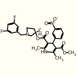 COC(=O)C1=C(C)NC(C)=C(C(=O)O[C@@]2(C)CCN(Cc3cc(F)cc(F)c3)C2)C1c1cccc([N+](=O)[O-])c1